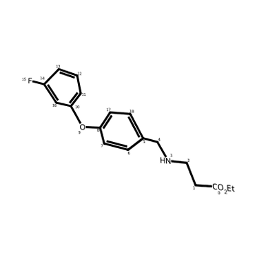 CCOC(=O)CCNCc1ccc(Oc2cccc(F)c2)cc1